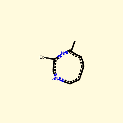 CCc1c[nH]ccccc(C)n1